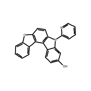 Oc1ccc2c3c4c(ccc3n(-c3ccccn3)c2c1)oc1ccccc14